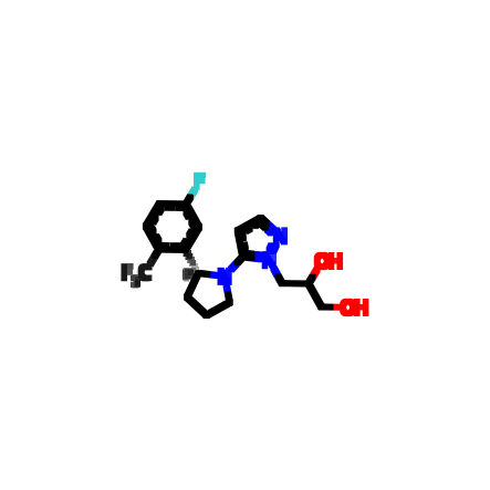 OCC(O)Cn1nccc1N1CCC[C@@H]1c1cc(F)ccc1C(F)(F)F